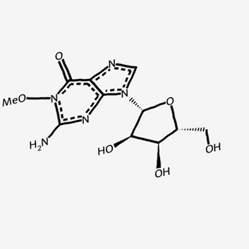 COn1c(N)nc2c(ncn2[C@@H]2O[C@H](CO)[C@@H](O)[C@H]2O)c1=O